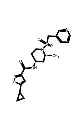 C[C@H]1C[C@@H](NC(=O)c2cc(C3CC3)on2)CCN1S(=O)(=O)Cc1cccnc1